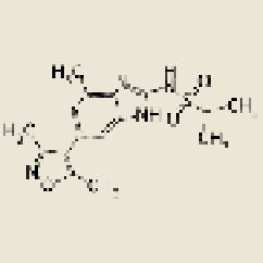 Cc1noc(C)c1-c1cc(C)c2nc(NS(=O)(=O)C(C)C)[nH]c2c1